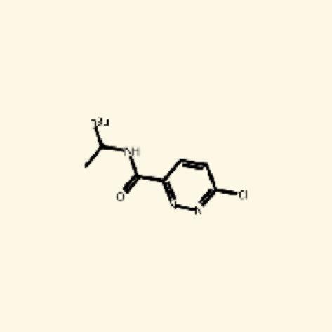 CCCCC(C)NC(=O)c1ccc(Cl)nn1